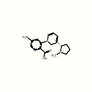 CN1CCC[C@H]1C1=CC=CN(c2cc(N)ccc2C(=O)O)C1